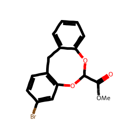 COC(=O)C1Oc2ccccc2Cc2ccc(Br)cc2O1